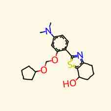 CN(C)c1ccc(-c2nc3c(s2)C(O)CCC3)c(OCOC2CCCC2)c1